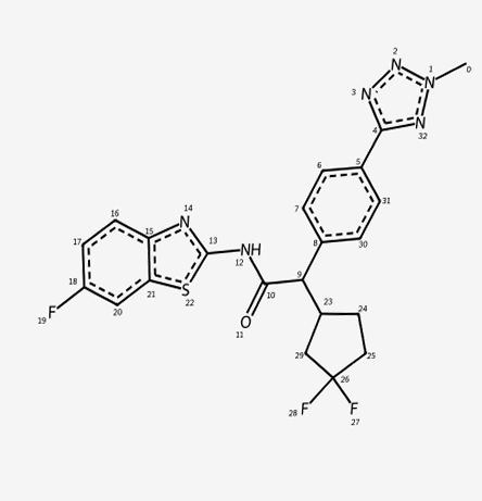 Cn1nnc(-c2ccc(C(C(=O)Nc3nc4ccc(F)cc4s3)C3CCC(F)(F)C3)cc2)n1